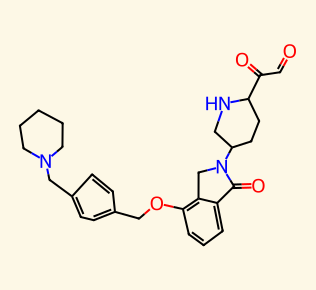 O=CC(=O)C1CCC(N2Cc3c(OCc4ccc(CN5CCCCC5)cc4)cccc3C2=O)CN1